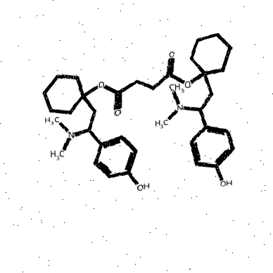 CN(C)C(CC1(OC(=O)CCC(=O)OC2(CC(c3ccc(O)cc3)N(C)C)CCCCC2)CCCCC1)c1ccc(O)cc1